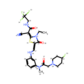 CCn1c(=C(C#N)C(=O)NCC(F)(F)F)sc(=CNc2cccc(N(C)C(=O)CN3CCC(F)CC3)c2)c1=O